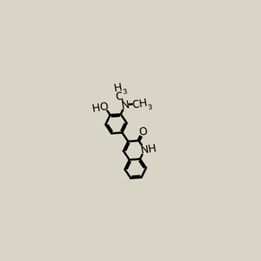 CN(C)c1cc(-c2cc3ccccc3[nH]c2=O)ccc1O